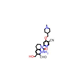 CN1CCC(COc2cc([N+]3(C(N)=O)CCCc4cc(CO)c(C=O)nc43)ncc2C#N)CC1